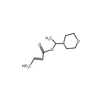 CC(OC(=O)/C=C/C(=O)O)N1CCOCC1